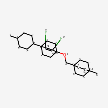 CC1CCC(C23CCC(OCC45CCC(C)(CC4)CC5)(CC2)C(F)=C3F)CC1